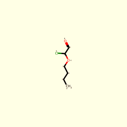 CCCCOC(Cl)C=O